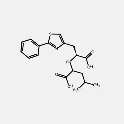 CC(C)CC(N[C@@H](Cc1csc(-c2ccccc2)n1)C(=O)O)C(=O)O